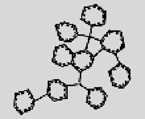 c1ccc(-c2ccc(N(c3ccccc3)c3cc4c(c5ccccc35)C(c3ccccc3)(c3ccccc3)c3cccc(-c5ccccc5)c3-4)cc2)cc1